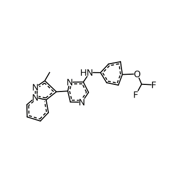 Cc1nn2ccccc2c1-c1cncc(Nc2ccc(OC(F)F)cc2)n1